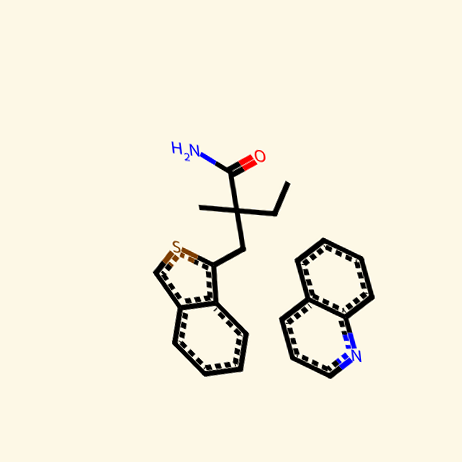 CCC(C)(Cc1scc2ccccc12)C(N)=O.c1ccc2ncccc2c1